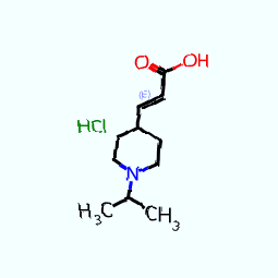 CC(C)N1CCC(/C=C/C(=O)O)CC1.Cl